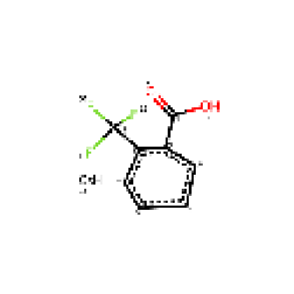 O=C(O)c1ccccc1C(F)(F)F.[CsH]